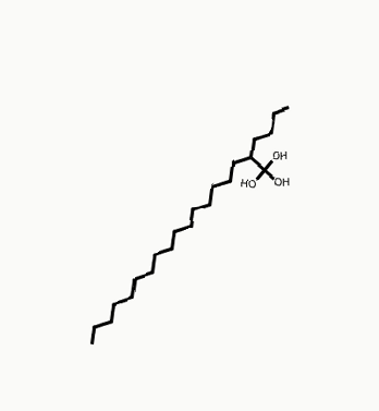 CCCCCCCCCCCCCCCCC(CCCC)C(O)(O)O